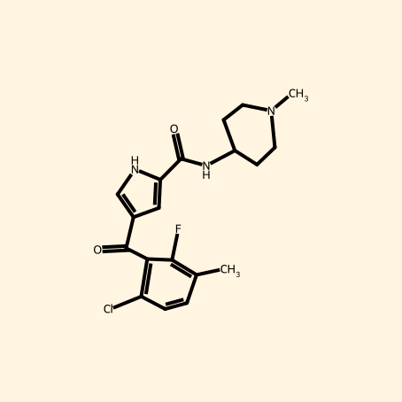 Cc1ccc(Cl)c(C(=O)c2c[nH]c(C(=O)NC3CCN(C)CC3)c2)c1F